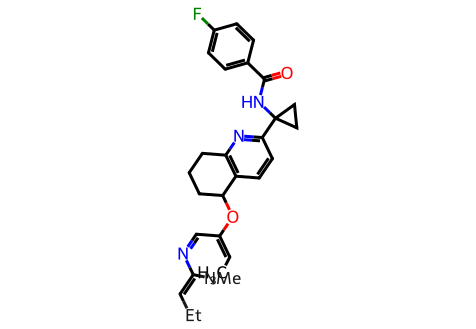 C\C=C(/C=N\C(=C\CC)NC)OC1CCCc2nc(C3(NC(=O)c4ccc(F)cc4)CC3)ccc21